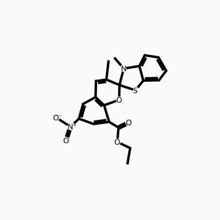 CCOC(=O)c1cc([N+](=O)[O-])cc2c1OC1(Sc3ccccc3N1C)C(C)=C2